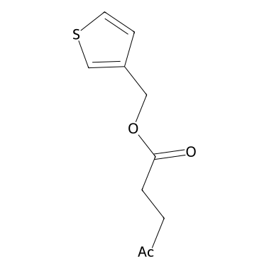 CC(=O)CCC(=O)OCc1ccsc1